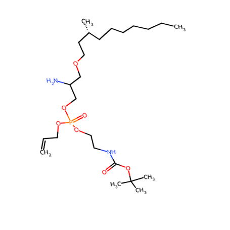 C=CCOP(=O)(OCCNC(=O)OC(C)(C)C)OCC(N)COCC[C@H](C)CCCCCCC